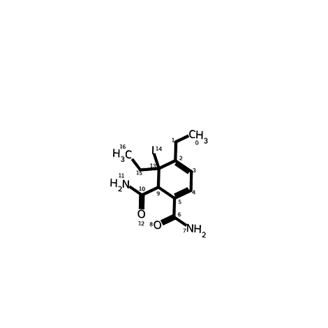 CCC1=CC=C(C(N)=O)C(C(N)=O)C1(I)CC